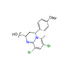 COc1ccc(C2CC(C(=O)O)N=C3C(Br)=CC(Br)=C(C)N32)cc1